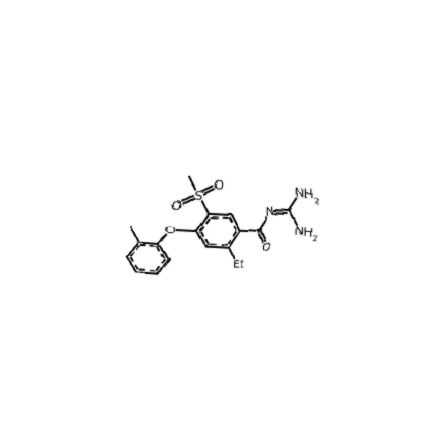 CCc1cc(Oc2ccccc2C)c(S(C)(=O)=O)cc1C(=O)N=C(N)N